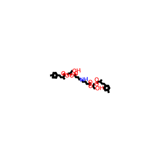 Cc1ccc(CCC(C)C(=O)OCC(CO)OC(=O)CCCNCCCC(=O)OC(CO)COC(=O)C(C)CCc2ccc(C)cc2)cc1